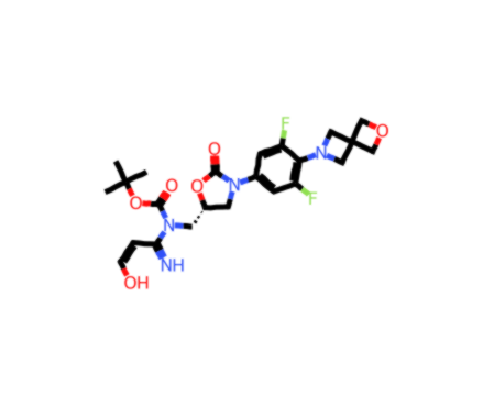 CC(C)(C)OC(=O)N(C[C@H]1CN(c2cc(F)c(N3CC4(COC4)C3)c(F)c2)C(=O)O1)C(=N)/C=C\O